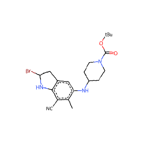 Cc1c(NC2CCN(C(=O)OC(C)(C)C)CC2)cc2c(c1C#N)NC(Br)C2